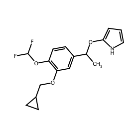 CC(Oc1ccc[nH]1)c1ccc(OC(F)F)c(OCC2CC2)c1